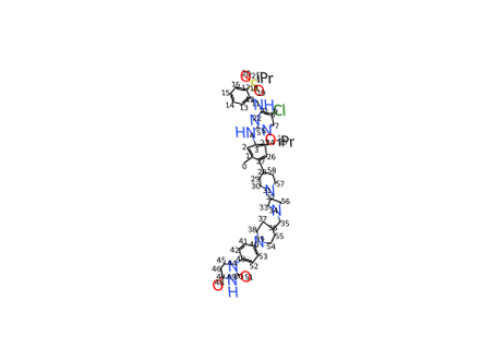 Cc1cc(Nc2ncc(Cl)c(Nc3ccccc3S(=O)(=O)C(C)C)n2)c(OC(C)C)cc1C1CCN(C2CN(CC3CCN(c4ccc(N5CCC(=O)NC5=O)cc4)CC3)C2)CC1